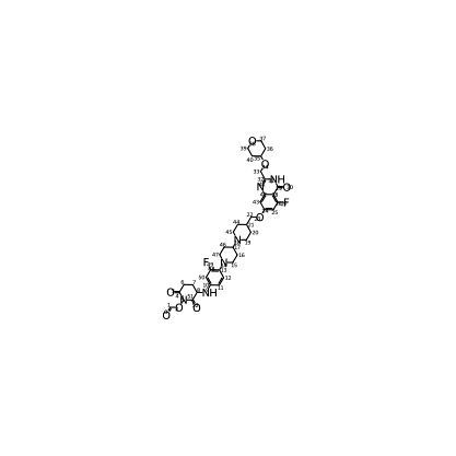 O=CON1C(=O)CCC(Nc2ccc(N3CCC(N4CCC(COc5cc(F)c6c(=O)[nH]c(COC7CCOCC7)nc6c5)CC4)CC3)c(F)c2)C1=O